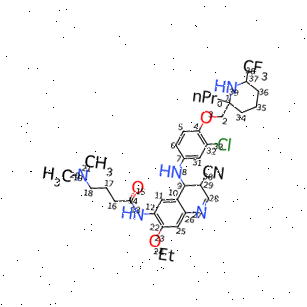 CCCC1(COc2ccc(NC3c4cc(NC(=O)CCCN(C)C)c(OCC)cc4N=CC3C#N)cc2Cl)CCCC(C(F)(F)F)N1